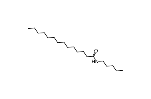 CCCCCCCCCCCCCC(=O)NCCCCC